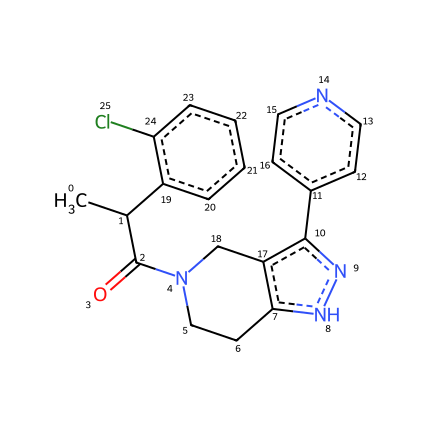 CC(C(=O)N1CCc2[nH]nc(-c3ccncc3)c2C1)c1ccccc1Cl